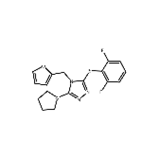 Fc1cccc(F)c1Sc1nnc(N2CCCC2)n1Cc1ccco1